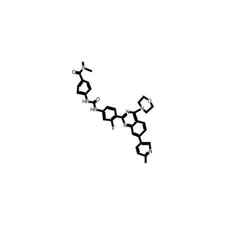 Cc1ccc(-c2ccc3c(N4CCOCC4)nc(-c4ccc(NC(=O)Nc5ccc(C(=O)N(C)C)cc5)cc4F)nc3c2)cn1